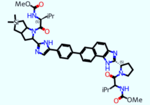 COC(=O)NC(C(=O)N1CCC[C@H]1c1nc2ccc3cc(-c4ccc(-c5cnc(C6CC7C[Si](C)(C)CC7N6C(=O)[C@@H](NC(=O)OC)C(C)C)[nH]5)cc4)ccc3c2[nH]1)C(C)C